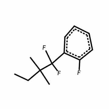 CCC(C)(C)C(F)(F)c1ccccc1F